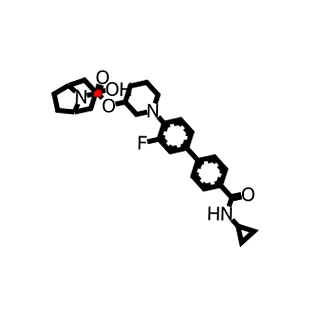 O=C(NC1CC1)c1ccc(-c2ccc(N3CCCC(OC(=O)N4C5CCC4CC(O)C5)C3)c(F)c2)cc1